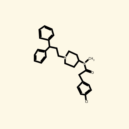 CN(C(=O)Cc1ccc(Cl)cc1)C1CCN(CCC(c2ccccc2)c2ccccc2)CC1